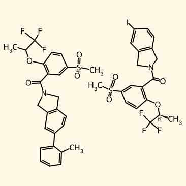 C[C@H](Oc1ccc(S(C)(=O)=O)cc1C(=O)N1Cc2ccc(I)cc2C1)C(F)(F)F.Cc1ccccc1-c1ccc2c(c1)CN(C(=O)c1cc(S(C)(=O)=O)ccc1OC(C)C(F)(F)F)C2